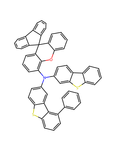 c1ccc(-c2cccc3sc4ccc(N(c5ccc6c(c5)sc5ccccc56)c5cccc6c5Oc5ccccc5C65c6ccccc6-c6ccccc65)cc4c23)cc1